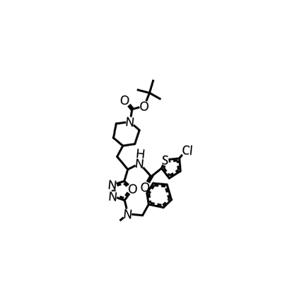 CN(Cc1ccccc1)c1nnc(C(CC2CCN(C(=O)OC(C)(C)C)CC2)NC(=O)c2ccc(Cl)s2)o1